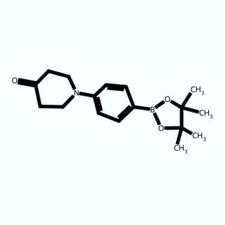 CC1(C)OB(c2ccc(N3CCC(=O)CC3)cc2)OC1(C)C